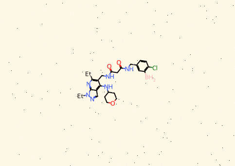 Bc1cc(CNC(=O)CC(=O)NCc2c(CC)nc3c(cnn3CC)c2NC2CCOCC2)ccc1Cl